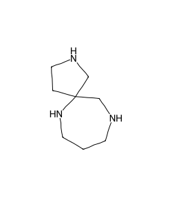 C1CNCC2(CCNC2)NC1